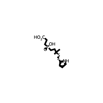 CC(C)(CCP(=O)(O)CCC(=O)O)SSc1ccc[nH]1